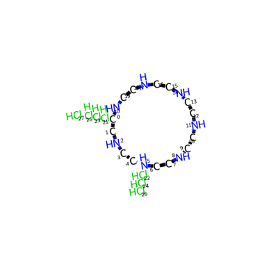 C1CNCCNCCNCCNCCNCCNCCN1.Cl.Cl.Cl.Cl.Cl.Cl.Cl